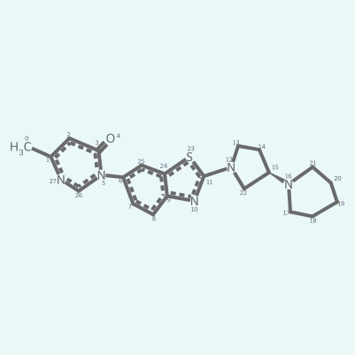 Cc1cc(=O)n(-c2ccc3nc(N4CC[C@@H](N5CCCCC5)C4)sc3c2)cn1